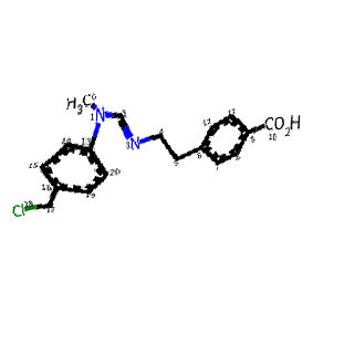 CN(C=NCCc1ccc(C(=O)O)cc1)c1ccc(CCl)cc1